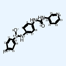 O=C(Nc1ccc(N[S+]([O-])c2ccc(F)cc2)cc1)Nc1cccnc1